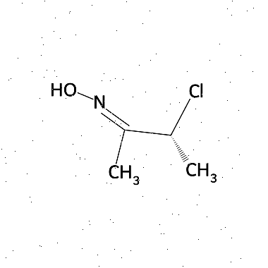 C/C(=N\O)[C@@H](C)Cl